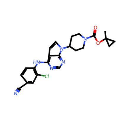 CC1(OC(=O)N2CCC(n3ccc4c(Nc5ccc(C#N)cc5Cl)ncnc43)CC2)CC1